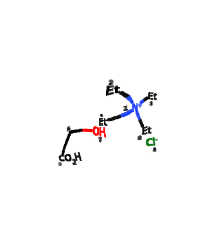 CC[N+](CC)(CC)CC.O=C(O)CO.[Cl-]